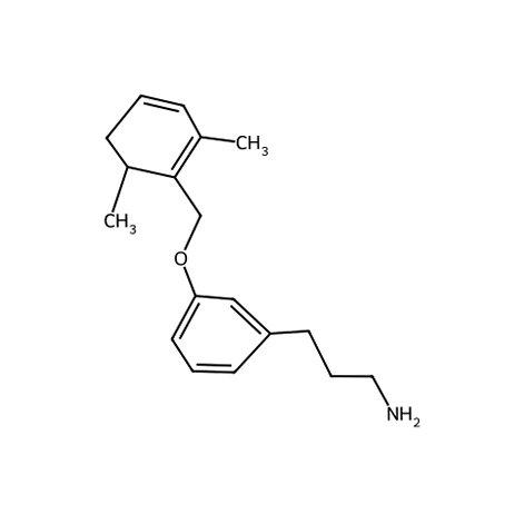 CC1=C(COc2cccc(CCCN)c2)C(C)CC=C1